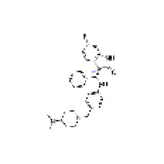 CN(C)C1CCN(Cc2ccc(N/C(=C3\C(=O)Nc4cc(F)ccc43)c3ccccc3)cc2)CC1